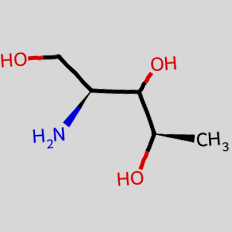 C[C@@H](O)C(O)[C@@H](N)CO